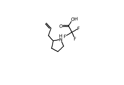 C=CCC1CCCN1.O=C(O)C(F)(F)F